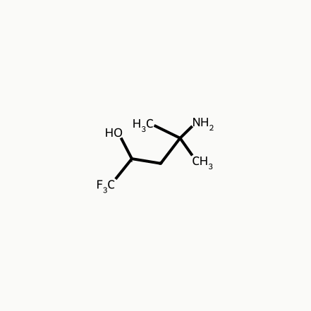 CC(C)(N)C[C](O)C(F)(F)F